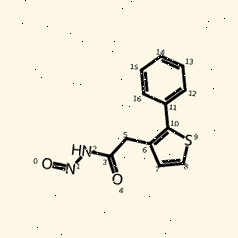 O=NNC(=O)Cc1ccsc1-c1ccccc1